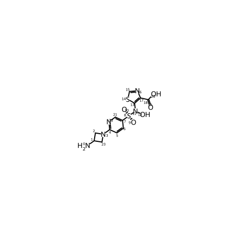 NC1CN(c2ccc(S(=O)(=O)N(O)c3scnc3C(=O)O)cn2)C1